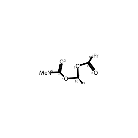 CNC(=O)O[C@H](C)OC(=O)C(C)C